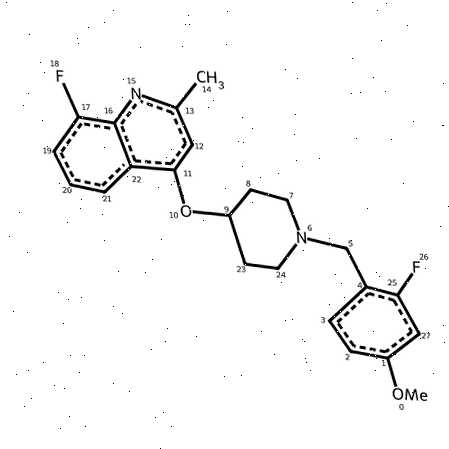 COc1ccc(CN2CCC(Oc3cc(C)nc4c(F)cccc34)CC2)c(F)c1